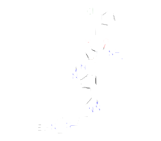 CCN1CCN(CCCn2cc(-c3ccc4c(c3)ncn4-c3cc(OCCc4ccccc4Cl)c(C(N)=O)s3)cn2)CC1